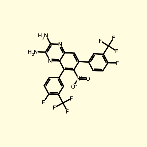 Nc1nc2cc(-c3ccc(F)c(C(F)(F)F)c3)c([N+](=O)[O-])c(-c3ccc(F)c(C(F)(F)F)c3)c2nc1N